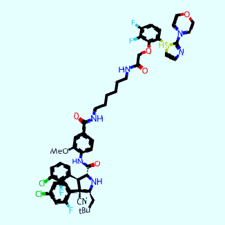 COc1cc(C(=O)NCCCCCCNC(=O)COc2c([SH]3C=CN=C3N3CCOCC3)ccc(F)c2F)ccc1NC(=O)[C@@H]1N[C@@H](CC(C)(C)C)[C@](C#N)(c2ccc(Cl)cc2F)[C@H]1c1cccc(Cl)c1F